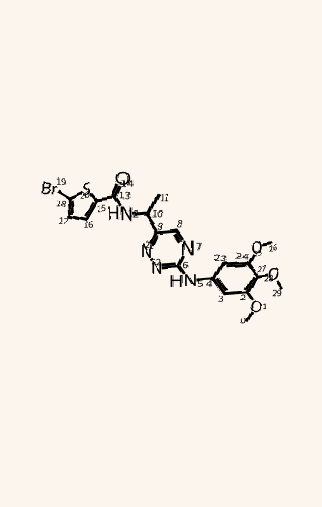 COc1cc(Nc2ncc(C(C)NC(=O)c3ccc(Br)s3)nn2)cc(OC)c1OC